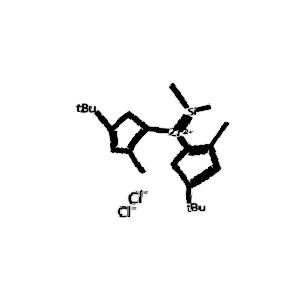 CC1=[C]([Zr+2]([C]2=C(C)C=C(C(C)(C)C)C2)=[Si](C)C)CC(C(C)(C)C)=C1.[Cl-].[Cl-]